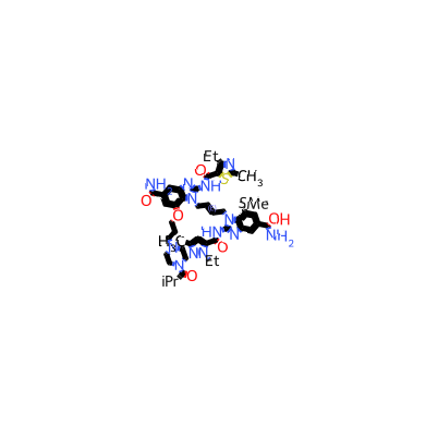 CCc1nc(C)sc1C(=O)Nc1nc2cc(C(N)=O)cc(OCCCN3CCN(C(=O)C(C)C)CC3)c2n1C/C=C/Cn1c(NC(=O)c2cc(C)nn2CC)nc2cc(C(N)O)cc(SC)c21